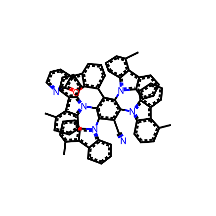 Cc1cccc2c1c1ccccc1n2-c1c(C#N)c(-n2c3ccccc3c3c(C)cccc32)c(-n2c3ccccc3c3c(C)cccc32)c(-c2cccc3c2oc2ncccc23)c1-n1c2ccccc2c2c(C)cccc21